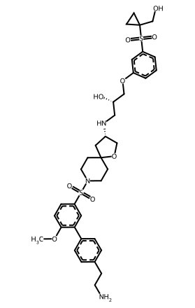 COc1ccc(S(=O)(=O)N2CCC3(CC2)C[C@H](NC[C@H](O)COc2cccc(S(=O)(=O)C4(CO)CC4)c2)CO3)cc1-c1ccc(CCN)cc1